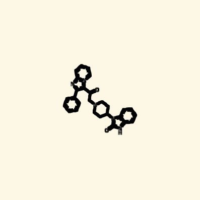 O=C(CN1CCC(n2c(=O)[nH]c3ccccc32)CC1)c1c(-c2ccccc2)nc2ccccn12